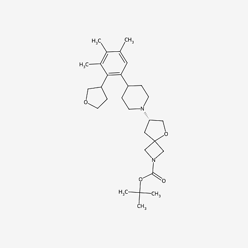 Cc1cc(C2CCN([C@@H]3COC4(C3)CN(C(=O)OC(C)(C)C)C4)CC2)c(C2CCOC2)c(C)c1C